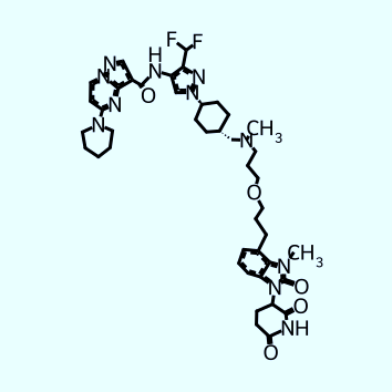 CN(CCCOCCCc1cccc2c1n(C)c(=O)n2C1CCC(=O)NC1=O)C[C@H]1CC[C@H](n2cc(NC(=O)c3cnn4ccc(N5CCCCC5)nc34)c(C(F)F)n2)CC1